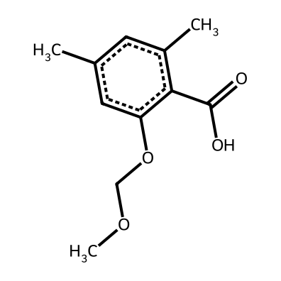 COCOc1cc(C)cc(C)c1C(=O)O